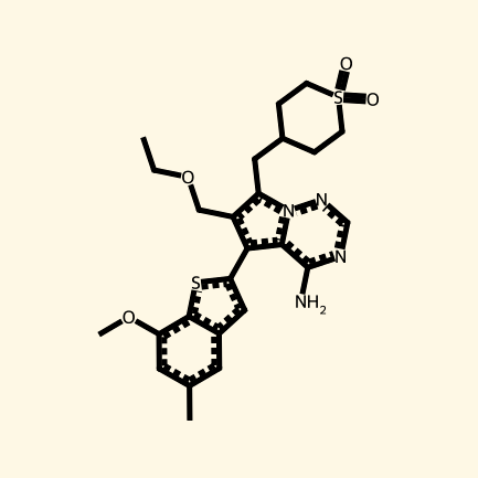 CCOCc1c(-c2cc3cc(C)cc(OC)c3s2)c2c(N)ncnn2c1CC1CCS(=O)(=O)CC1